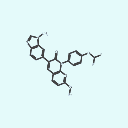 CCOc1ccc2cc(-c3ccc4ncn(C)c4c3)c(=O)n(-c3ccc(OC(F)F)cc3)c2n1